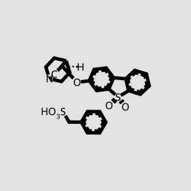 O=S(=O)(O)Cc1ccccc1.O=S1(=O)c2ccccc2-c2ccc(O[C@H]3CN4CCC3CC4)cc21